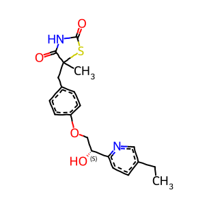 CCc1ccc([C@H](O)COc2ccc(CC3(C)SC(=O)NC3=O)cc2)nc1